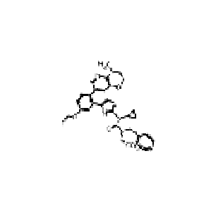 CN1CCOc2cc(-c3ccc(OCF)cc3-c3csc(N(C(=O)C(CC(=O)O)Cc4ccccc4)C4CC4)n3)cnc21